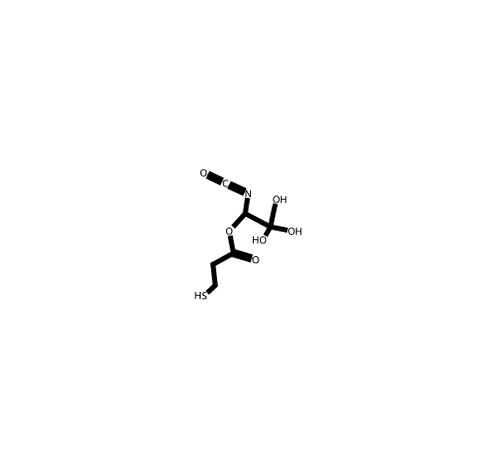 O=C=NC(OC(=O)CCS)C(O)(O)O